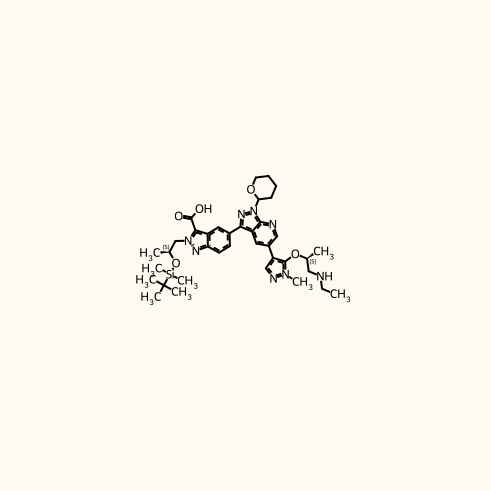 CCNC[C@H](C)Oc1c(-c2cnc3c(c2)c(-c2ccc4nn(C[C@H](C)O[Si](C)(C)C(C)(C)C)c(C(=O)O)c4c2)nn3C2CCCCO2)cnn1C